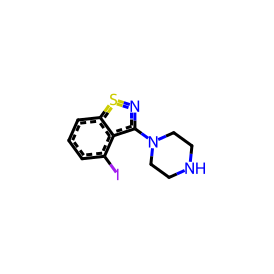 Ic1cccc2snc(N3CCNCC3)c12